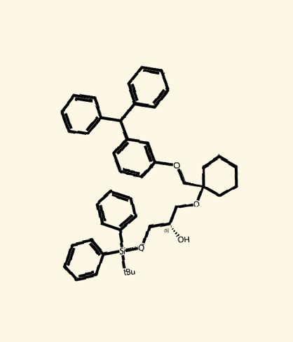 CC(C)(C)[Si](OC[C@@H](O)COC1(COc2cccc(C(c3ccccc3)c3ccccc3)c2)CCCCC1)(c1ccccc1)c1ccccc1